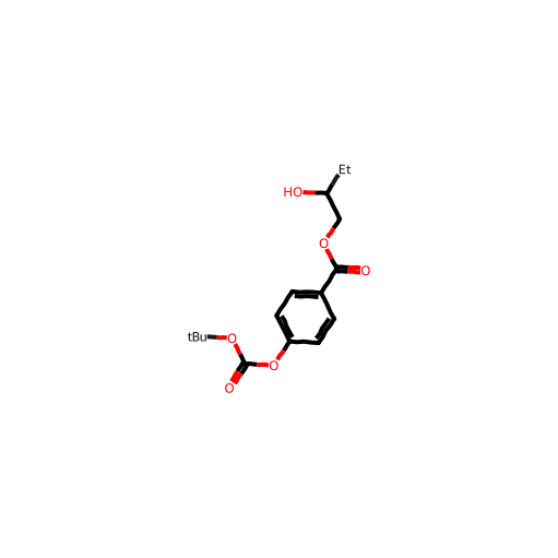 CCC(O)COC(=O)c1ccc(OC(=O)OC(C)(C)C)cc1